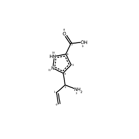 C=CC(N)c1cc(C(=O)O)[nH]n1